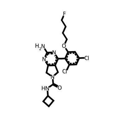 Nc1nc2c(c(-c3c(Cl)cc(Cl)cc3OCCCCF)n1)CN(C(=O)NC1CCC1)C2